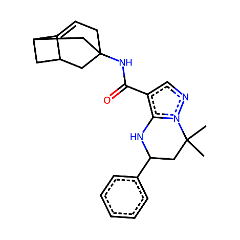 CC1(C)CC(c2ccccc2)Nc2c(C(=O)NC34CC=C5C(CC5C3)C4)cnn21